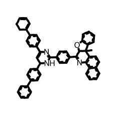 CC12c3ccccc3OC1C(c1ccc(C3=NC(c4ccc(C5=CC=CCC5)cc4)=CC(c4ccc(-c5ccccc5)cc4)N3)cc1)=Nc1c2ccc2ccccc12